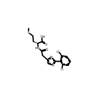 CSCC[C@H](NC(=O)Cc1csc(-c2c(Cl)cccc2Cl)n1)C(=O)O